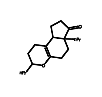 CCCC1CCC2=C(CCC3(CCC)C(=O)CCC23)O1